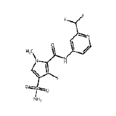 Cn1cc(S(N)(=O)=O)c(F)c1C(=O)Nc1ccnc(C(F)F)c1